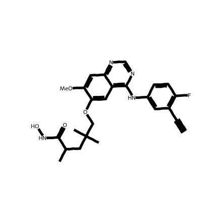 C#Cc1cc(Nc2ncnc3cc(OC)c(OCC(C)(C)CC(C)C(=O)NO)cc23)ccc1F